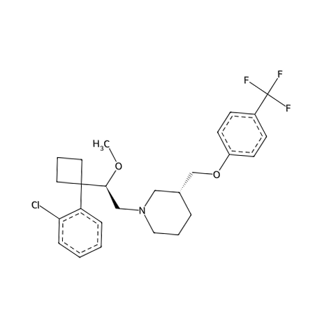 CO[C@@H](CN1CCC[C@@H](COc2ccc(C(F)(F)F)cc2)C1)C1(c2ccccc2Cl)CCC1